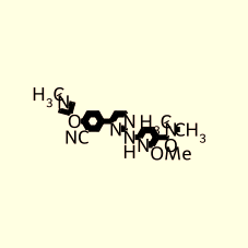 COc1nc(Nc2nccc(-c3ccc(OC4CN(C)C4)c(C#N)c3)n2)ccc1C(=O)N(C)C